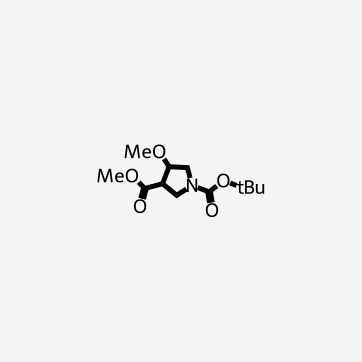 COC(=O)C1CN(C(=O)OC(C)(C)C)CC1OC